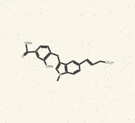 COC(=O)c1ccc(Cc2cn(C)c3ccc(/C=C/CC(=O)O)cc23)c(OC)c1